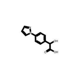 O=C(O)C(O)c1ccc(-n2cccn2)cc1